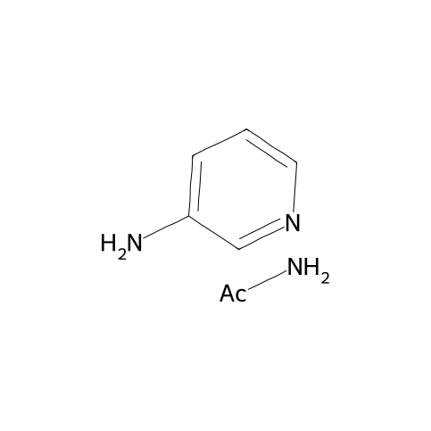 CC(N)=O.Nc1cccnc1